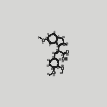 COc1ccc2c(c1)C(C(=Cc1ccc(OC)c(OC)c1)C(=O)O)=C(C)C2